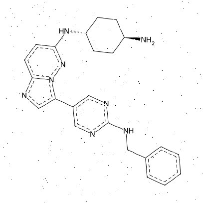 N[C@H]1CC[C@H](Nc2ccc3ncc(-c4cnc(NCc5ccccc5)nc4)n3n2)CC1